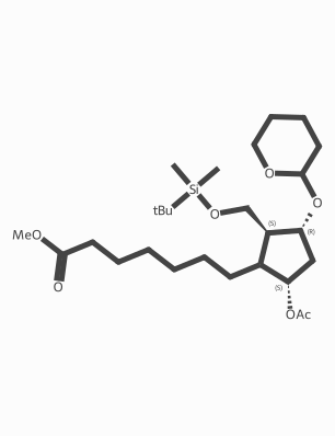 COC(=O)CCCCCCC1[C@@H](OC(C)=O)C[C@@H](OC2CCCCO2)[C@@H]1CO[Si](C)(C)C(C)(C)C